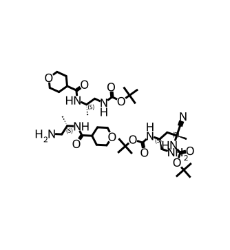 CC(C)(C)OC(=O)N[C@H](CN)C[C@](C)(C#N)NC(=O)OC(C)(C)C.C[C@@H](CN)NC(=O)C1CCOCC1.C[C@@H](CNC(=O)OC(C)(C)C)NC(=O)C1CCOCC1